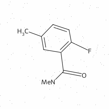 CNC(=O)c1cc(C)ccc1F